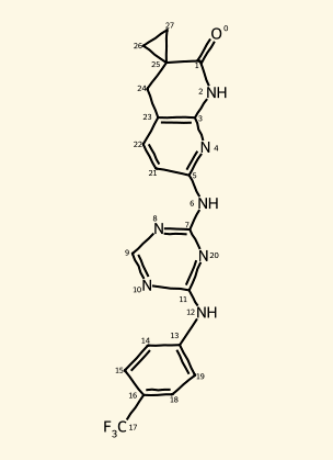 O=C1Nc2nc(Nc3ncnc(Nc4ccc(C(F)(F)F)cc4)n3)ccc2CC12CC2